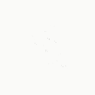 Cc1cc(S)n2nc(OC(N)=O)nc2n1